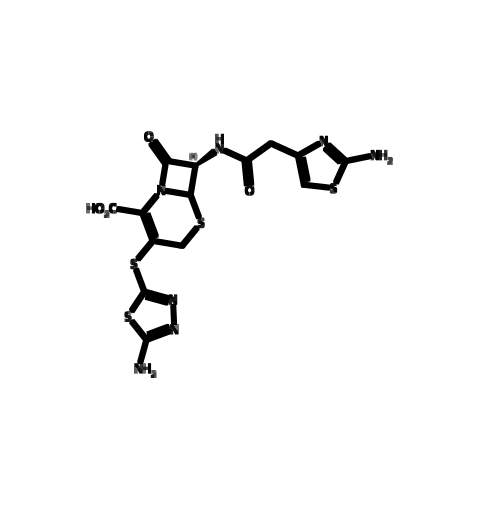 Nc1nc(CC(=O)N[C@@H]2C(=O)N3C(C(=O)O)=C(Sc4nnc(N)s4)CSC23)cs1